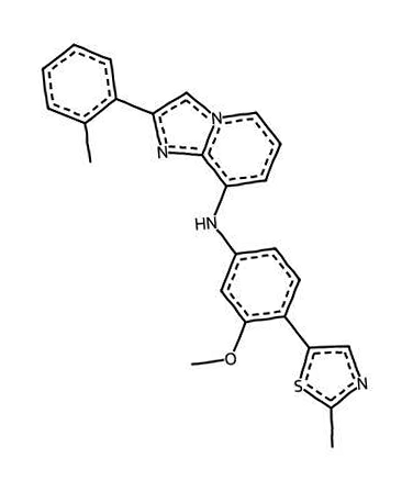 COc1cc(Nc2cccn3cc(-c4ccccc4C)nc23)ccc1-c1cnc(C)s1